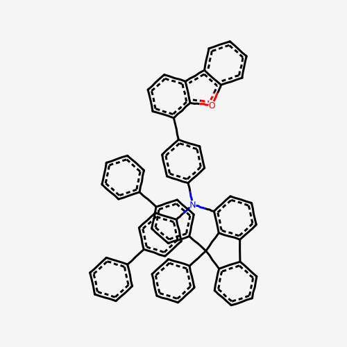 c1ccc(-c2ccc(N(c3ccc(-c4cccc5c4oc4ccccc45)cc3)c3cccc4c3C(c3ccccc3)(c3ccc(-c5ccccc5)cc3)c3ccccc3-4)cc2)cc1